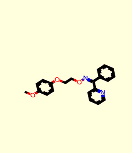 COc1ccc(OCCON=C(c2ccccc2)c2ccccn2)cc1